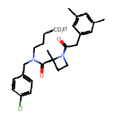 CCOC(=O)CCCN(Cc1ccc(Cl)cc1)C(=O)C1(C)CCN1C(=O)Cc1cc(C)cc(C)c1